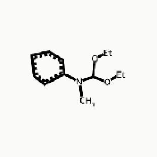 CCOC(OCC)N(C)c1ccccc1